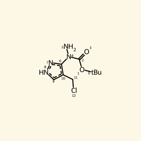 CC(C)(C)OC(=O)N(N)c1n[nH]cc1CCl